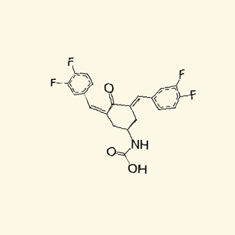 O=C(O)NC1CC(=Cc2ccc(F)c(F)c2)C(=O)C(=Cc2ccc(F)c(F)c2)C1